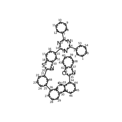 c1ccc(-c2nc(-c3ccccc3)nc(-c3ccc4sc(-c5cccc(-c6cccc7c6sc6c(-c8nc9ccccc9o8)cccc67)c5)nc4c3)n2)cc1